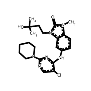 Cn1c(=O)n(CCC(C)(C)O)c2cc(Nc3nc(N4CCCCC4)ncc3Cl)ccc21